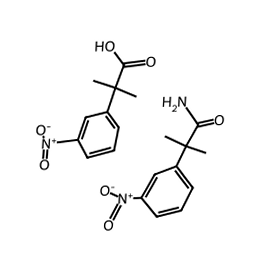 CC(C)(C(=O)O)c1cccc([N+](=O)[O-])c1.CC(C)(C(N)=O)c1cccc([N+](=O)[O-])c1